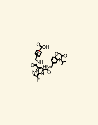 CC(C)N1C(=O)COc2ccc(CNC(=O)c3cc(C(=O)NCC45CCC(C(=O)O)(CC4)CC5)n4ncc(F)c4n3)cc21